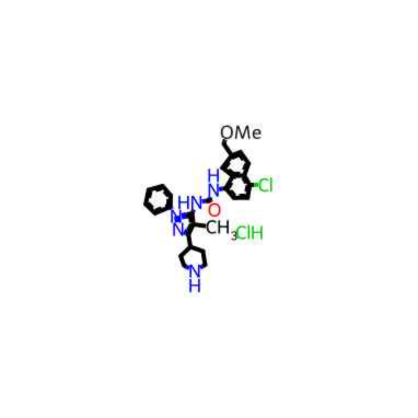 COCc1ccc2c(Cl)ccc(NC(=O)Nc3c(C)c(C4CCNCC4)nn3-c3ccccc3)c2c1.Cl